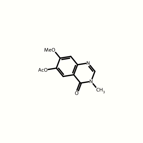 COc1cc2ncn(C)c(=O)c2cc1OC(C)=O